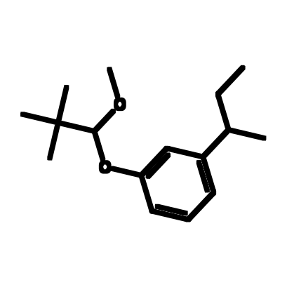 CCC(C)c1cccc(OC(OC)C(C)(C)C)c1